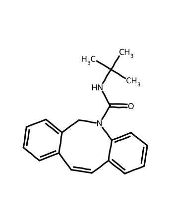 CC(C)(C)NC(=O)N1Cc2ccccc2/C=C\c2ccccc21